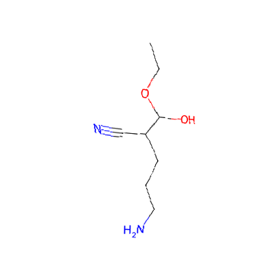 CCOC(O)C(C#N)CCCN